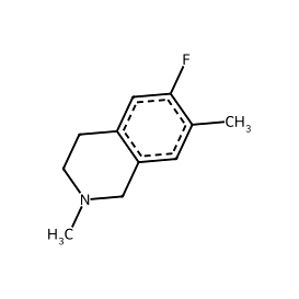 Cc1cc2c(cc1F)CCN(C)C2